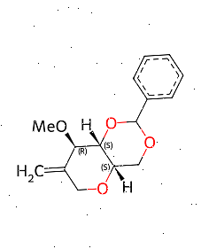 C=C1CO[C@H]2COC(c3ccccc3)O[C@H]2[C@@H]1OC